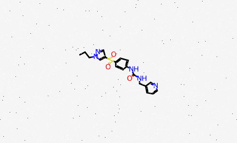 CCCn1cc(S(=O)(=O)c2ccc(NC(=O)NCc3cccnc3)cc2)cn1